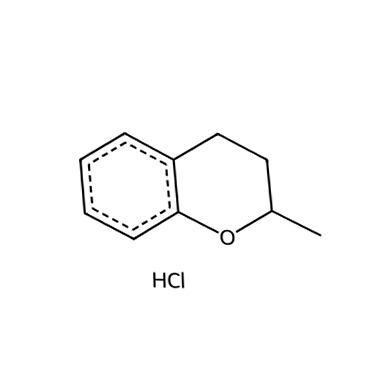 CC1CCc2ccccc2O1.Cl